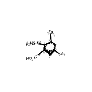 CC(=O)Nc1c(C)cc(C)cc1C(=O)O